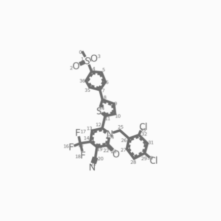 CS(=O)(=O)c1ccc(-c2ccc(-c3cc(C(F)(F)F)c(C#N)c(=O)n3Cc3ccc(Cl)cc3Cl)s2)cc1